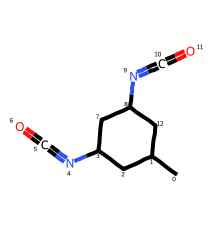 CC1[CH]C(N=C=O)CC(N=C=O)C1